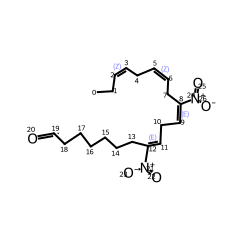 CC/C=C\C/C=C\C/C(=C\C/C=C(\CCCCCC[C]=O)[N+](=O)[O-])[N+](=O)[O-]